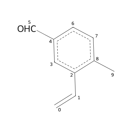 C=Cc1cc(C=O)ccc1C